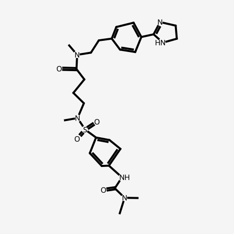 CN(C)C(=O)Nc1ccc(S(=O)(=O)N(C)CCCC(=O)N(C)CCc2ccc(C3=NCCN3)cc2)cc1